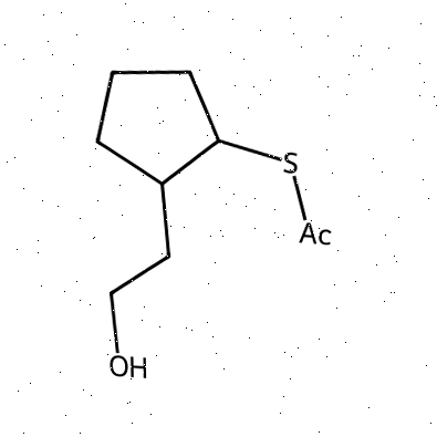 CC(=O)SC1CCCC1CCO